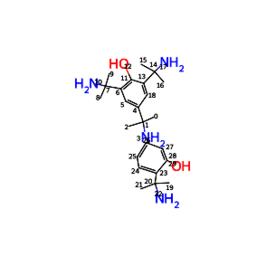 CC(C)(N)c1cc(C(C)(C)N)c(O)c(C(C)(C)N)c1.CC(C)(N)c1ccccc1O